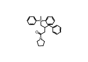 C[Si](CC(CC(=O)N1CCCC1)Cc1ccccc1)(c1ccccc1)c1ccccc1